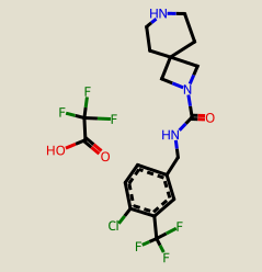 O=C(NCc1ccc(Cl)c(C(F)(F)F)c1)N1CC2(CCNCC2)C1.O=C(O)C(F)(F)F